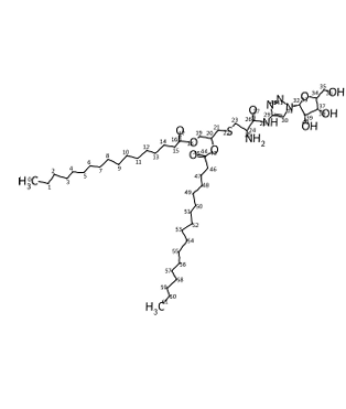 CCCCCCCCCCCCCCCCC(=O)OCC(CSCC(N)C(=O)Nc1cn([C@H]2OC(CO)[C@@H](O)[C@H]2O)nn1)OC(=O)CCCCCCCCCCCCCCCC